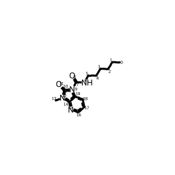 CCCCCCNC(=O)n1c(=O)n(C)c2ncccc21